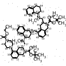 CCOC(=O)N1CCN(c2cccc3c2C[C@H](CN(C)[C@H]2CCCc4cccnc42)N(C(=O)OC(C)(C)C)C3)CC1.CN(CC1Cc2c(Br)cccc2CN1C(=O)OC(C)(C)C)[C@H]1CCCc2cccnc21